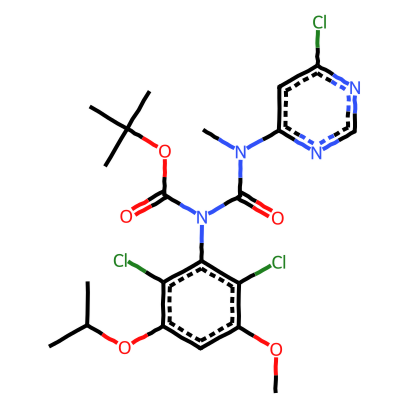 COc1cc(OC(C)C)c(Cl)c(N(C(=O)OC(C)(C)C)C(=O)N(C)c2cc(Cl)ncn2)c1Cl